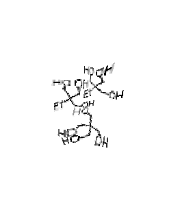 CCC(CO)(CO)CO.CCC(CO)(CO)CO.OCC(CO)(CO)CO